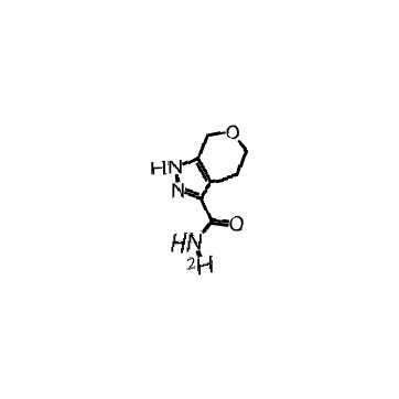 [2H]NC(=O)c1n[nH]c2c1CCOC2